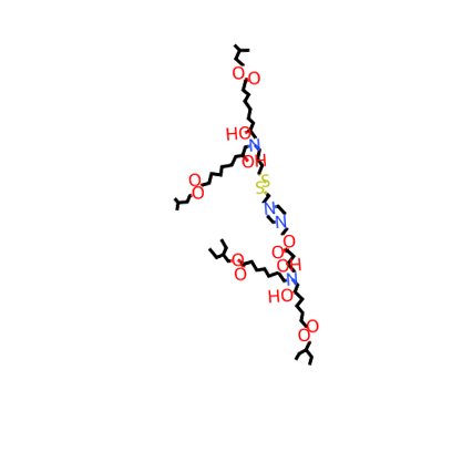 CCC(CC)COC(=O)CCCCC(O)CN(CCCC(=O)OCCN1CCN(CCSSCCCCN(CC(O)CCCCCCC(=O)OCCC(C)C)CC(O)CCCCCCC(=O)OCCC(C)C)CC1)CC(O)CCCCC(=O)OCC(CC)CC